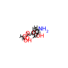 C=C(C)[C@@]12O[C@H]3[C@@H](N)[C@H](C)[C@@H](O)[C@@H]1[C@H]3C=C[C@@H]2C[C@H](OC)C(=O)O[C@@H](C(C)C)[C@@H](C)O